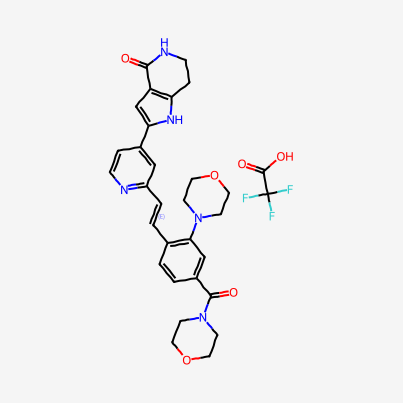 O=C(O)C(F)(F)F.O=C1NCCc2[nH]c(-c3ccnc(/C=C/c4ccc(C(=O)N5CCOCC5)cc4N4CCOCC4)c3)cc21